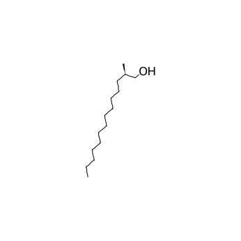 CCCCCCCCCCCC[C@@H](C)CO